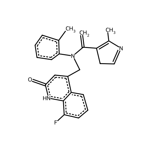 C=C(C1=C(C)N=CC1)N(Cc1cc(=O)[nH]c2c(F)cccc12)c1ccccc1C